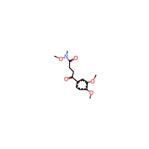 COc1ccc(C(=O)CCC(=O)N(C)OC)cc1OC